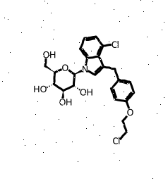 OC[C@H]1O[C@@H](n2cc(Cc3ccc(OCCCl)cc3)c3c(Cl)cccc32)[C@H](O)[C@@H](O)[C@@H]1O